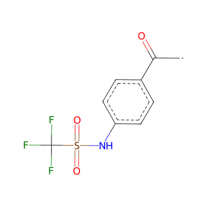 [CH2]C(=O)c1ccc(NS(=O)(=O)C(F)(F)F)cc1